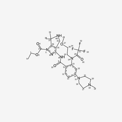 CCOC(=O)n1nc(NC(=O)c2ccc(N3CCN(C)CC3)cc2N(CCOC)C(=O)C(F)(F)F)c2c1C(C)(C)NC2